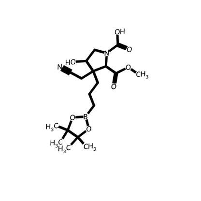 COC(=O)C1N(C(=O)O)CC(O)C1(CC#N)CCCB1OC(C)(C)C(C)(C)O1